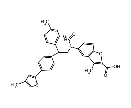 Cc1ccc(C(CN(c2ccc3oc(C(=O)O)c(C)c3c2)[SH](=O)=O)c2ccc(-c3cc(C)cs3)cc2)cc1